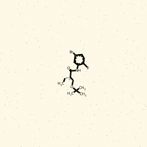 CC[C@@H](COC(C)(C)C)C(=O)Nc1cc(Br)ccc1F